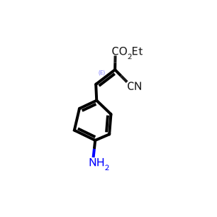 CCOC(=O)/C(C#N)=C/c1ccc(N)cc1